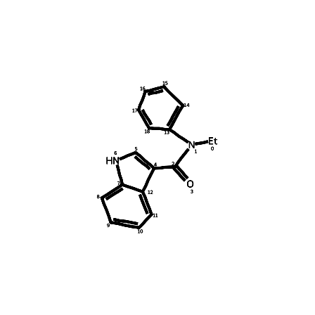 CCN(C(=O)c1c[nH]c2ccccc12)c1ccccc1